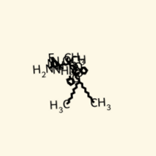 C#CC(CCn1cnc2c(N)nc(F)nc21)(COP(=O)(N[C@@H](Cc1ccccc1)C(=O)OCC(CCCCCCCCC)CCCCCCCCC)Oc1ccccc1)OC